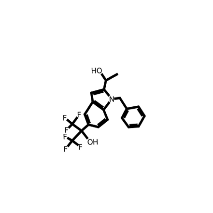 CC(O)c1cc2cc(C(O)(C(F)(F)F)C(F)(F)F)ccc2n1Cc1ccccc1